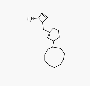 NC1C=CC1CC1=CC(C2CCCCCCCCC2)CCC1